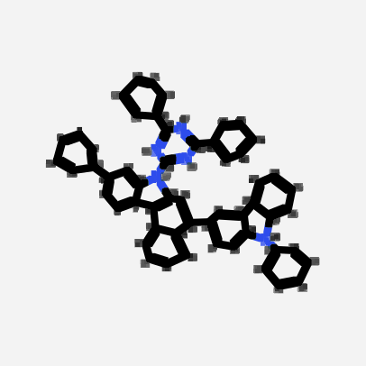 c1ccc(-c2ccc3c4c5ccccc5c(-c5ccc6c(c5)c5ccccc5n6-c5ccccc5)cc4n(-c4nc(-c5ccccc5)nc(-c5ccccc5)n4)c3c2)cc1